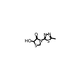 Cc1nnc(N2CSC(O)C2=O)s1